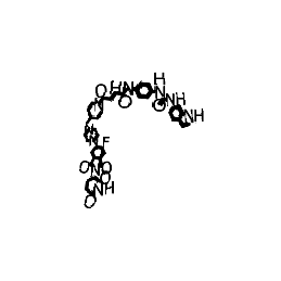 O=C(/C=C/C(=O)N1CCC(CN2CCN(c3cc4c(cc3F)C(=O)N(C3CCC(=O)NC3=O)C4=O)CC2)CC1)Nc1ccc(NC(=O)Nc2ccc3cc[nH]c3c2)cc1